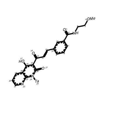 COCCNC(=O)c1cccc(/C=C/C(=O)c2c(O)c3cccnc3[n]([Ta])c2=O)c1